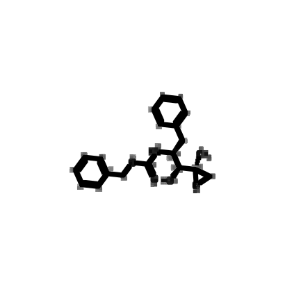 C[C@]1([C@@H](O)[C@H](Cc2ccccc2)NC(=O)OCc2ccccc2)CO1